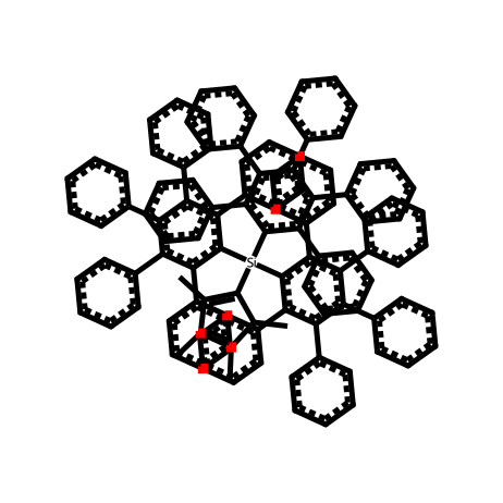 CC1=C(C)C(C)C([Si](c2c(-c3ccccc3)c(-c3ccccc3)c(-c3ccccc3)c(-c3ccccc3)c2-c2ccccc2)(c2c(-c3ccccc3)c(-c3ccccc3)c(-c3ccccc3)c(-c3ccccc3)c2-c2ccccc2)c2c(-c3ccccc3)c(-c3ccccc3)c(-c3ccccc3)c(-c3ccccc3)c2-c2ccccc2)=C1C